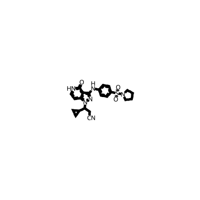 N#CCC(C1CC1)n1nc(Nc2ccc(S(=O)(=O)N3CCCC3)cc2)c2c(=O)[nH]ccc21